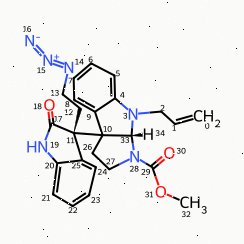 C=CCN1c2ccccc2C2([C@@]3(CCN=[N+]=[N-])C(=O)Nc4ccccc43)CCN(C(=O)OC)[C@@H]12